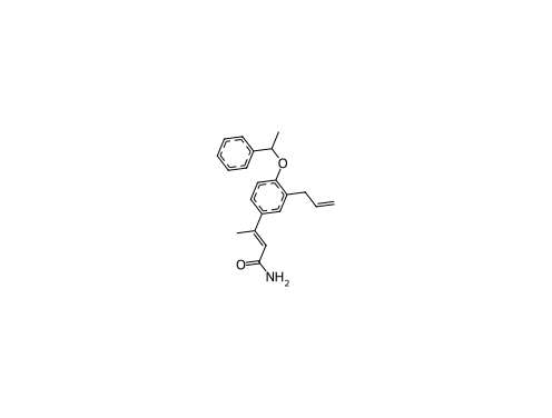 C=CCc1cc(C(C)=CC(N)=O)ccc1OC(C)c1ccccc1